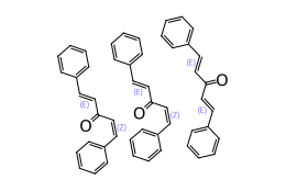 O=C(/C=C/c1ccccc1)/C=C/c1ccccc1.O=C(/C=C\c1ccccc1)/C=C/c1ccccc1.O=C(/C=C\c1ccccc1)/C=C/c1ccccc1